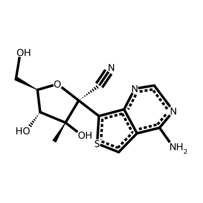 C[C@@]1(O)[C@H](O)[C@@H](CO)O[C@@]1(C#N)c1scc2c(N)ncnc12